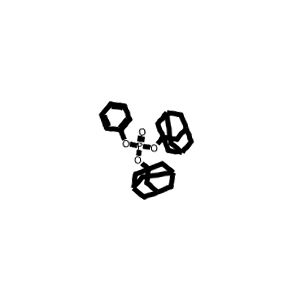 O=P(Oc1ccccc1)(OC12CC3CC(CC(C3)C1)C2)OC12CC3CC(CC(C3)C1)C2